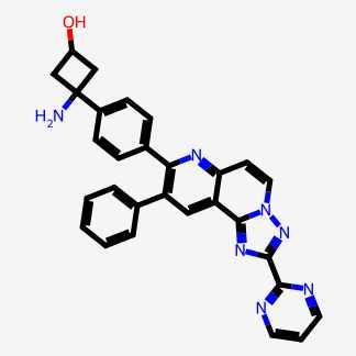 NC1(c2ccc(-c3nc4ccn5nc(-c6ncccn6)nc5c4cc3-c3ccccc3)cc2)CC(O)C1